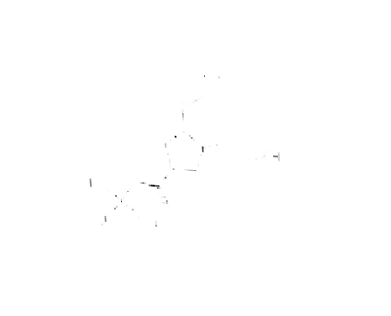 CCOC1CN(C(=O)OC(C)(C)C)CC1OCC